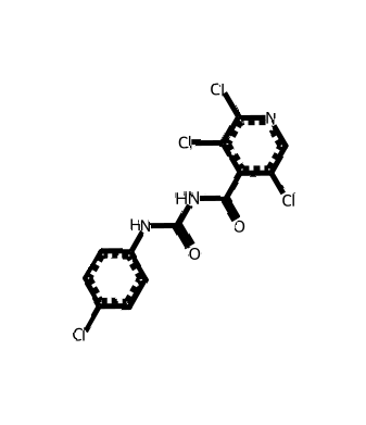 O=C(NC(=O)c1c(Cl)cnc(Cl)c1Cl)Nc1ccc(Cl)cc1